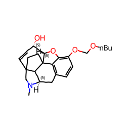 CCCCOCOc1ccc2c3c1O[C@H]1[C@@H](O)C=CC45CCC31C4[C@@H](C2)N(C)C5